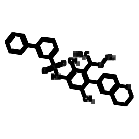 Cc1cc(NS(=O)(=O)c2cccc(-c3ccccc3)c2)c(C)c(C(OC(C)(C)C)C(=O)O)c1-c1ccc2c(c1)CCCO2